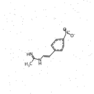 CC(=N)NC=Cc1ccc([N+](=O)[O-])cc1